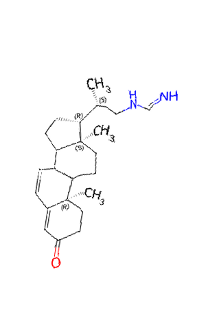 C[C@H](CNC=N)[C@H]1CCC2C3C=CC4=CC(=O)CC[C@]4(C)C3CC[C@@]21C